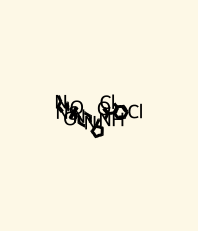 Cn1cnc(S(=O)(=O)N2CCN(C3(CNC(=O)c4ccc(Cl)cc4Cl)CCCC3)CC2)c1